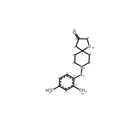 Cc1ccc(SN2CCC3(CC2)CC(=O)CO3)c(C)c1